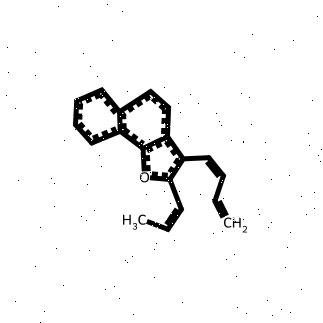 C=C/C=C\c1c(/C=C\C)oc2c1ccc1ccccc12